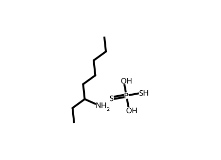 CCCCCC(N)CC.OP(O)(=S)S